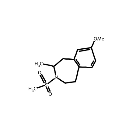 COc1ccc2c(c1)CC(C)N(S(C)(=O)=O)CC2